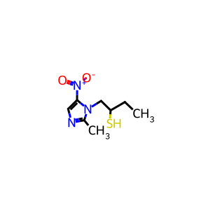 CCC(S)Cn1c([N+](=O)[O-])cnc1C